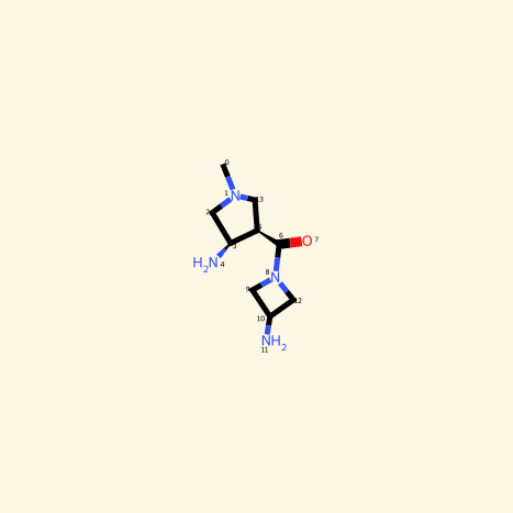 CN1C[C@H](N)[C@H](C(=O)N2CC(N)C2)C1